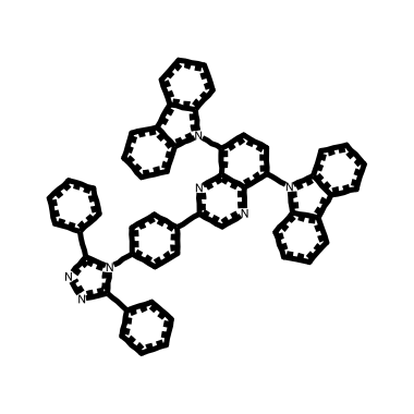 c1ccc(-c2nnc(-c3ccccc3)n2-c2ccc(-c3cnc4c(-n5c6ccccc6c6ccccc65)ccc(-n5c6ccccc6c6ccccc65)c4n3)cc2)cc1